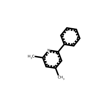 Cc1cc(C)nc(-c2ccccc2)c1